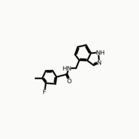 Cc1ccc(C(=O)NCc2cccc3[nH]ncc23)cc1F